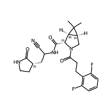 CC1(C)[C@@H]2[C@@H](C(=O)NC(C#N)C[C@@H]3CCNC3=O)N(C(=O)CCc3c(F)cccc3F)C[C@@H]21